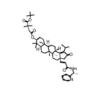 CC(C)C1=C2[C@H]3CC[C@@H]4[C@@]5(C)CC[C@H](OC(=O)CC(C)(C)C(=O)OC(C)(C)C)C(C)(C)[C@@H]5CC[C@@]4(C)[C@]3(C)CC[C@@]2(/C=C/C(=O)N[C@H](C)c2ccccn2)CC1=O